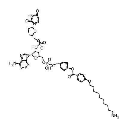 NCCCCCCCCCCOc1ccc(C(=O)Oc2ccc(CSP(=O)(O)OC[C@H]3O[C@@H](n4cnc5c(N)ncnc54)C[C@@H]3OP(=O)(O)OC[C@@H]3CC[C@H](n4ccc(=O)[nH]c4=O)O3)cc2)cc1